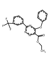 CCOC(=O)c1nnc(-c2cccc(C(F)(F)F)c2)nc1Oc1ccccc1